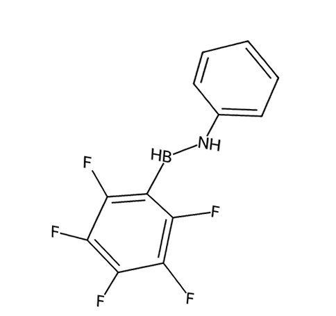 Fc1c(F)c(F)c(BNc2ccccc2)c(F)c1F